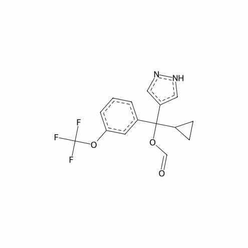 O=COC(c1cn[nH]c1)(c1cccc(OC(F)(F)F)c1)C1CC1